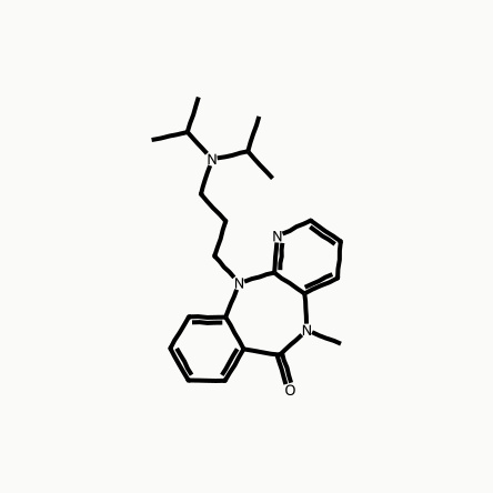 CC(C)N(CCCN1c2ccccc2C(=O)N(C)c2cccnc21)C(C)C